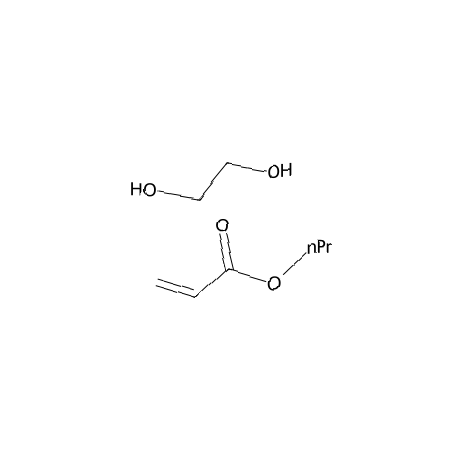 C=CC(=O)OCCC.OCCO